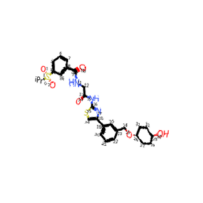 CC(C)S(=O)(=O)c1cccc(C(=O)NCC(=O)Nc2nc(-c3cccc(CO[C@H]4CC[C@H](O)CC4)c3)cs2)c1